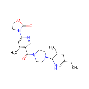 CCC1=CNC(N2CCN(C(=O)c3cnc(N4CCOC4=O)cc3C)CC2)C(C)=C1